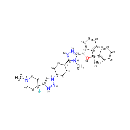 CN1CCC(F)(c2cn([C@H]3CC[C@H](c4nnc(CO[Si](c5ccccc5)(c5ccccc5)C(C)(C)C)n4C)CC3)nn2)CC1